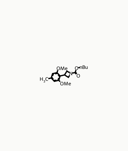 CCCCOC(=O)N1CC(c2c(OC)cc(C)cc2OC)C1